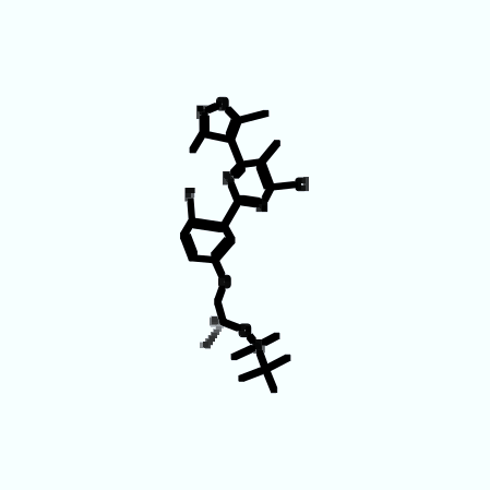 [CH2][C@H](COc1ccc(F)c(-c2nc(Cl)c(C)c(-c3c(C)noc3C)n2)c1)O[Si](C)(C)C(C)(C)C